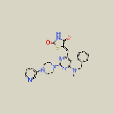 CN(Cc1ccccc1)c1cc(/C=C2\SC(=O)NC2=O)nc(N2CCN(c3cccnc3)CC2)n1